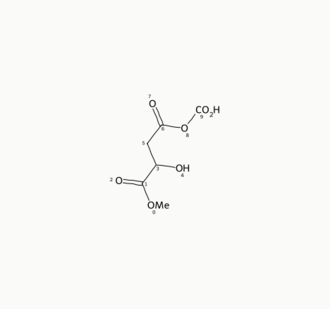 COC(=O)C(O)CC(=O)OC(=O)O